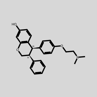 CN(C)CCOc1ccc([C@@H]2c3ccc(O)cc3OC[C@@H]2c2ccccc2)cc1